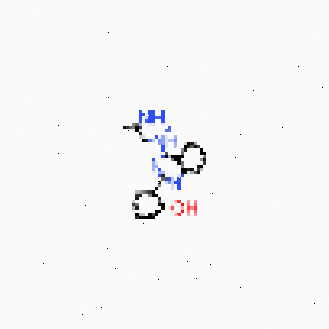 C[C@@H](N)CNc1nc(-c2ccccc2O)nc2ccccc12